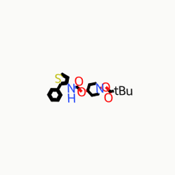 CC(C)(C)C(=O)ON1CCC(OC(=O)Nc2ccsc2-c2ccccc2)CC1